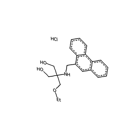 CCOCC(CO)(CO)NCc1cc2ccccc2c2ccccc12.Cl